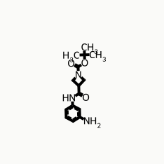 CC(C)(C)OC(=O)N1CC(C(=O)Nc2cccc(N)c2)C1